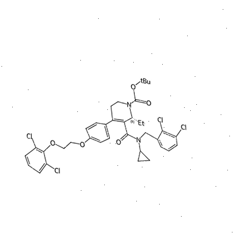 CC[C@@H]1C(C(=O)N(Cc2cccc(Cl)c2Cl)C2CC2)=C(c2ccc(OCCOc3c(Cl)cccc3Cl)cc2)CCN1C(=O)OC(C)(C)C